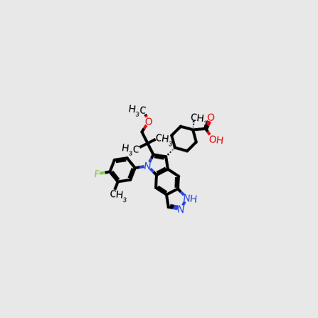 COCC(C)(C)c1c([C@H]2CC[C@](C)(C(=O)O)CC2)c2cc3[nH]ncc3cc2n1-c1ccc(F)c(C)c1